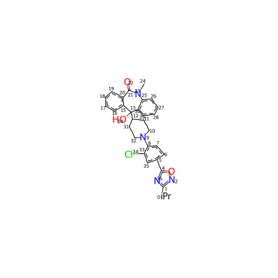 CC(C)c1noc(-c2ccc(N3CCC(C4(O)c5ccccc5C(=O)N(C)c5ccccc54)CC3)c(Cl)c2)n1